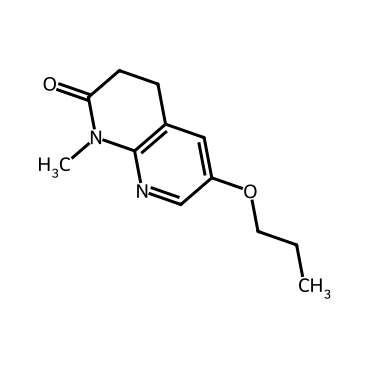 CCCOc1cnc2c(c1)CCC(=O)N2C